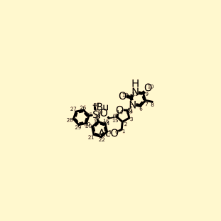 CC(=O)OCC1C[C@H](n2cc(C)c(=O)[nH]c2=O)O[C@@H]1CO[Si](c1ccccc1)(c1ccccc1)C(C)(C)C